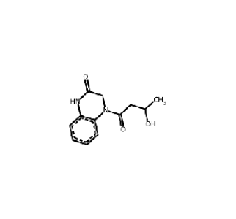 CC(O)CC(=O)N1CC(=O)Nc2ccccc21